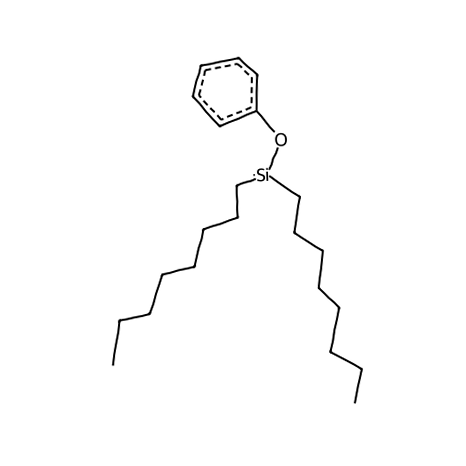 CCCCCCCC[Si](CCCCCCCC)Oc1ccccc1